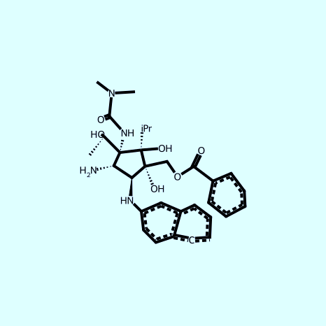 CC(C)[C@@]1(O)[C@](NC(=O)N(C)C)([C@H](C)O)[C@@H](N)[C@H](Nc2ccc3ccccc3c2)[C@]1(O)COC(=O)c1ccccc1